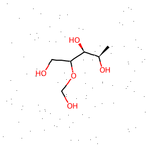 C[C@@H](O)[C@H](O)C(CO)OCO